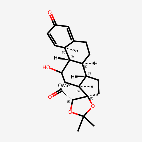 COC(=O)[C@H]1OC(C)(C)O[C@@]12CC[C@H]1[C@@H]3CCC4=CC(=O)C=C[C@]4(C)[C@H]3C(O)C[C@@]12C